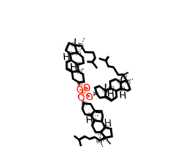 CC(C)CCC[C@@H](C)[C@@]1(C)CC[C@H]2C3CC=C4C[C@H](OP(=O)(O[C@@H]5CC[C@@]6(C)C(=CCC7[C@@H]6CC[C@@]6(C)[C@H]7CC[C@]6(C)[C@H](C)CCCC(C)C)C5)O[C@@H]5CC[C@@]6(C)C(=CCC7[C@@H]6CC[C@@]6(C)[C@H]7CC[C@]6(C)[C@H](C)CCCC(C)C)C5)CC[C@]4(C)[C@H]3CC[C@@]21C